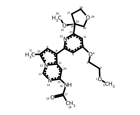 COCCOc1cc(-c2cc(C)n3cnc(NC(C)=O)cc23)nc([C@]2(OC)CCOC2)c1